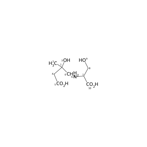 CC(C)(O)CC(=O)O.NC(CO)C(=O)O